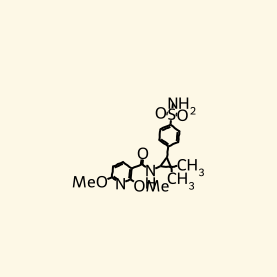 COc1ccc(C(=O)NC2C(c3ccc(S(N)(=O)=O)cc3)C2(C)C)c(OC)n1